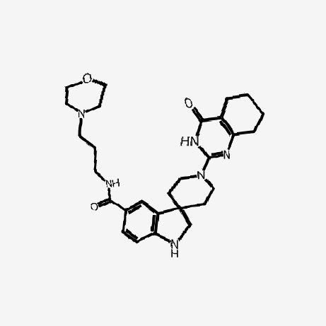 O=C(NCCCN1CCOCC1)c1ccc2c(c1)C1(CCN(c3nc4c(c(=O)[nH]3)CCCC4)CC1)CN2